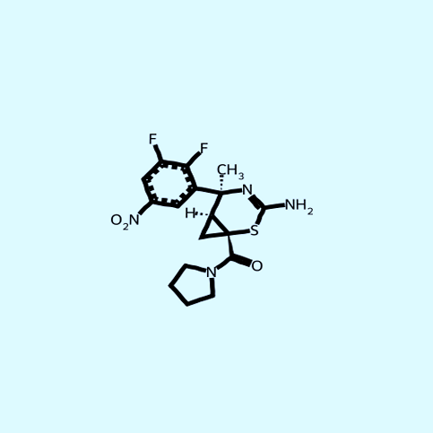 C[C@]1(c2cc([N+](=O)[O-])cc(F)c2F)N=C(N)S[C@]2(C(=O)N3CCCC3)C[C@H]21